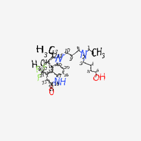 CCN(CCCCO)CCCn1c(C)c(C)c2c3c(C(F)(F)F)cc(=O)[nH]c3ccc21